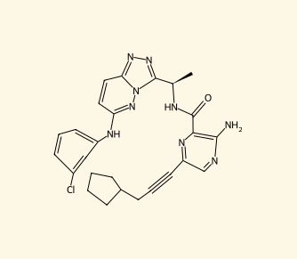 C[C@@H](NC(=O)c1nc(C#CCC2CCCC2)cnc1N)c1nnc2ccc(Nc3cccc(Cl)c3)nn12